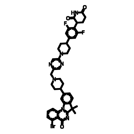 CC1(C)c2ccc(C3CCN(Cc4cnc(N5CCC(c6cc(F)c(C7CCC(=O)NC7=O)c(F)c6)CC5)cn4)CC3)cc2-n2c1nc(=O)c1c(Br)cccc12